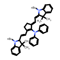 CCCCN1/C(=C/C=C2\CCC(/C=C/C3N(CCCC)c4ccccc4C3(C)C)=C2N(c2ccccc2)c2ccccc2)C(C)(C)c2ccccc21